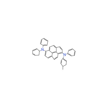 CC1C=CC(N(c2ccccc2)c2ccc3ccc4c(N(c5ccccc5)C5C=CC=CC5)ccc5ccc2c3c54)=CC1